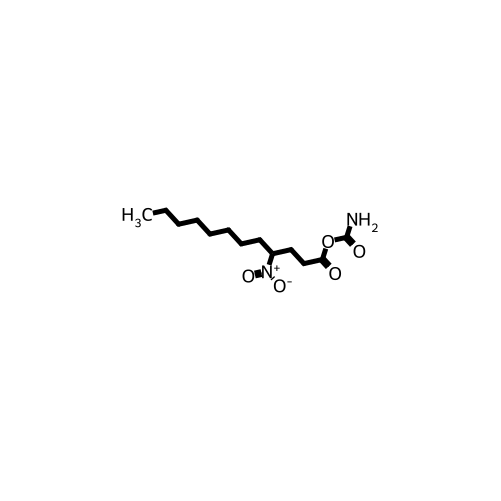 CCCCCCCCC(CCC(=O)OC(N)=O)[N+](=O)[O-]